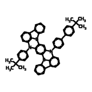 CC(C)(C)c1ccc(-c2ccc(N3c4cc5c(cc4B4c6ccccc6-c6cccc3c64)N(c3ccc(C(C)(C)C)cc3)c3cccc4c3B5c3ccccc3-4)cc2)cc1